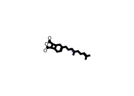 CC(C)=CCC/C(C)=C/CCC1=CCC2C(C1)C1C(=O)OC(=O)C21